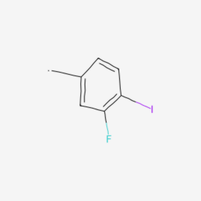 [CH2]c1ccc(I)c(F)c1